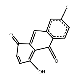 O=C1C=CC(O)=C2C(=O)c3ccc(Cl)cc3C=C12